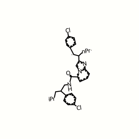 CC[CH]C([CH]c1ccc(Cl)cc1)c1cn2c(C(=O)NCC(CC(C)C)c3ccc(Cl)cc3)cccc2n1